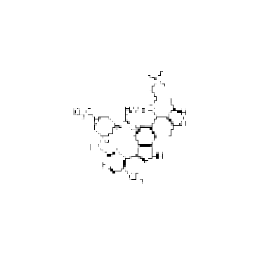 CNC(=O)[C@@H]1C[C@H](Nc2ncc(C(F)(F)F)c(-c3c[nH]c4cc(C(OCC[Si](C)(C)C)c5c(C)noc5C)ccc34)n2)CN(C(=O)O)C1